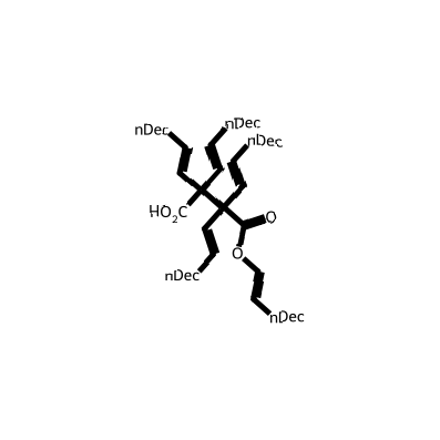 CCCCCCCCCCC=COC(=O)C(C=CCCCCCCCCCC)(C=CCCCCCCCCCC)C(C=CCCCCCCCCCC)(C=CCCCCCCCCCC)C(=O)O